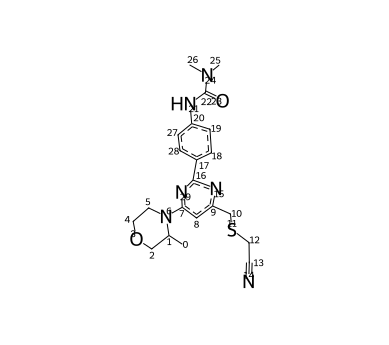 CC1COCCN1c1cc(CSCC#N)nc(-c2ccc(NC(=O)N(C)C)cc2)n1